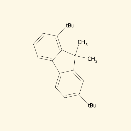 CC(C)(C)c1ccc2c(c1)C(C)(C)c1c-2cccc1C(C)(C)C